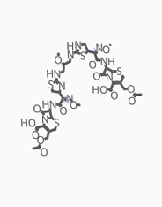 CO/N=C(\C(=O)NC1C(=O)N2C(C(=O)O)=C(COC(C)=O)CSC12)C1CSC(NCC(CNC2=NCC(/C(=N/OC)C(=O)NC3C(=O)N4C(C(=O)O)=C(COC(C)=O)CSC34)S2)OC)=N1